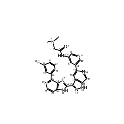 CN(C)CC(=O)Nc1cncc(-c2cc3c(-c4nc5c(-c6cccc(F)c6)nccc5[nH]4)n[nH]c3cn2)c1